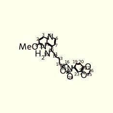 COc1ccc2nccc([C@@H](N)CCCC[C@@H]3CN(c4ccc5c(c4)OCCO5)C(=O)O3)c2n1